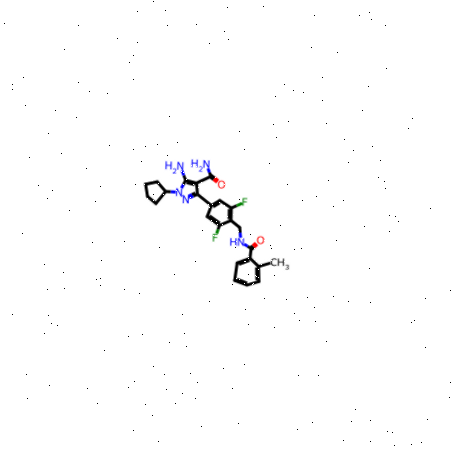 Cc1ccccc1C(=O)NCc1c(F)cc(-c2nn(C3CCCC3)c(N)c2C(N)=O)cc1F